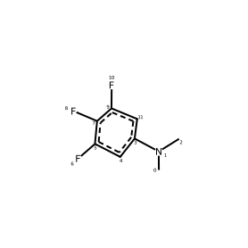 CN(C)c1cc(F)c(F)c(F)c1